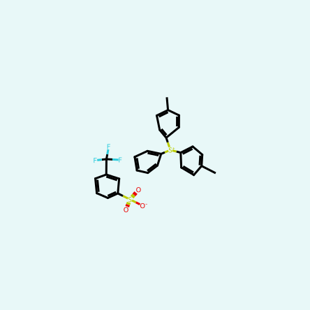 Cc1ccc([S+](c2ccccc2)c2ccc(C)cc2)cc1.O=S(=O)([O-])c1cccc(C(F)(F)F)c1